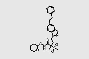 CC(CCn1ncc2cc(CCc3ccccc3)ccc21)(C(=O)NOC1CCCCO1)S(C)(=O)=O